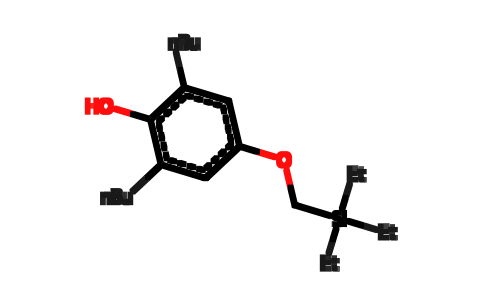 CCCCc1cc(OC[Si](CC)(CC)CC)cc(CCCC)c1O